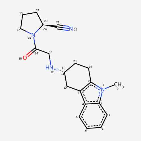 Cn1c2c(c3ccccc31)C[C@H](NCC(=O)N1CCC[C@H]1C#N)CC2